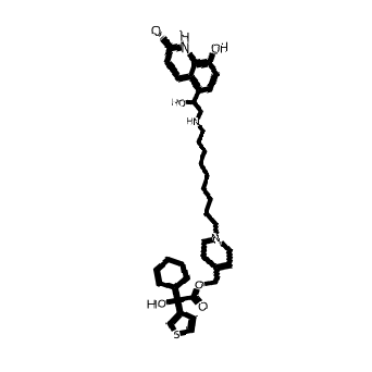 O=C(OCC1CCN(CCCCCCCCCNCC(O)c2ccc(O)c3[nH]c(=O)ccc23)CC1)C(O)(c1ccsc1)C1CCCCC1